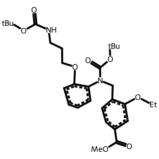 CCOc1cc(C(=O)OC)ccc1CN(C(=O)OC(C)(C)C)c1ccccc1OCCCNC(=O)OC(C)(C)C